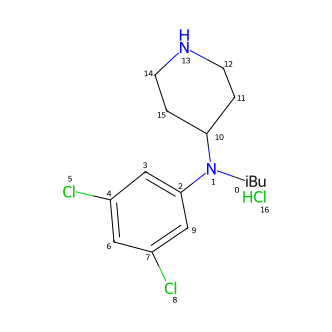 CCC(C)N(c1cc(Cl)cc(Cl)c1)C1CCNCC1.Cl